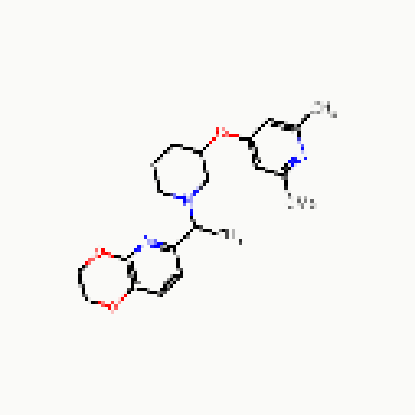 COc1cc(OC2CCCN(C(C)c3ccc4c(n3)OCCO4)C2)cc(C)n1